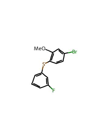 COc1cc(Br)ccc1Sc1cccc(F)c1